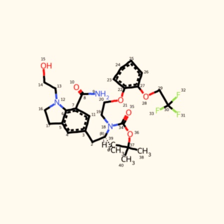 C[C@H](Cc1cc2c(c(C(N)=O)c1)N(CCO)CC2)N(CCOc1ccccc1OCC(F)(F)F)C(=O)OC(C)(C)C